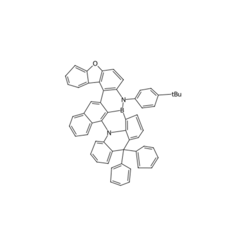 CC(C)(C)c1ccc(N2B3c4cccc5c4N(c4ccccc4C5(c4ccccc4)c4ccccc4)c4c3c(cc3ccccc43)-c3c2ccc2oc4ccccc4c32)cc1